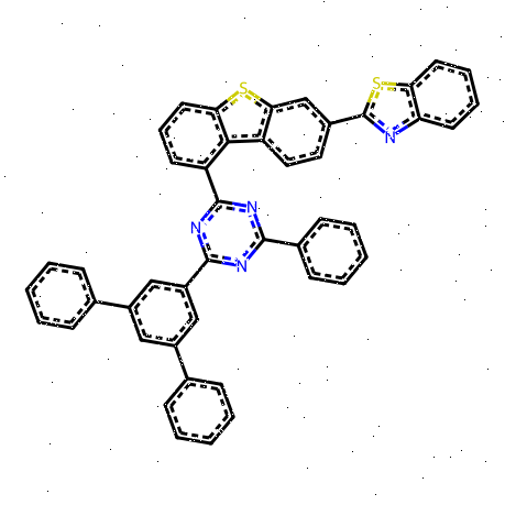 c1ccc(-c2cc(-c3ccccc3)cc(-c3nc(-c4ccccc4)nc(-c4cccc5sc6cc(-c7nc8ccccc8s7)ccc6c45)n3)c2)cc1